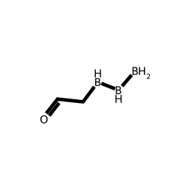 BBBCC=O